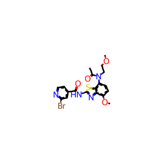 COCCN(C(C)=O)c1ccc(OC)c2nc(NC(=O)c3ccnc(Br)c3)sc12